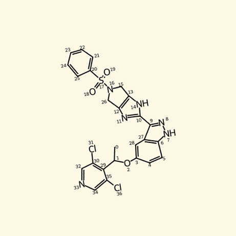 CC(Oc1ccc2[nH]nc(-c3nc4c([nH]3)CN(S(=O)(=O)c3ccccc3)C4)c2c1)c1c(Cl)cncc1Cl